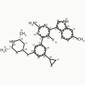 Cc1ccc2c(-c3nc(N)nc(-c4cc(CN5C[C@@H](C)N[C@@H](C)C5)cc(C5CC5)c4)c3F)c[nH]c2c1